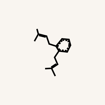 CC(C)=CCc1ccccc1CC=C(C)C